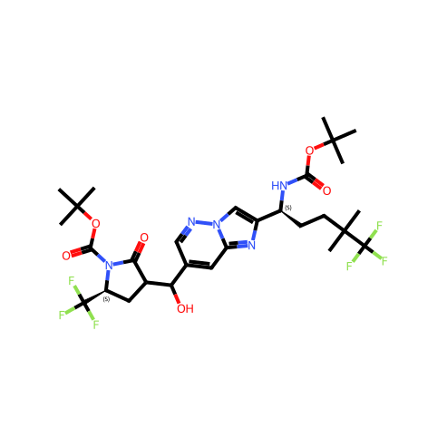 CC(C)(C)OC(=O)N[C@@H](CCC(C)(C)C(F)(F)F)c1cn2ncc(C(O)C3C[C@@H](C(F)(F)F)N(C(=O)OC(C)(C)C)C3=O)cc2n1